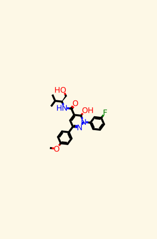 COc1ccc(C2=NN(c3cccc(F)c3)C(O)C(C(=O)N[C@H](CO)C(C)C)=C2)cc1